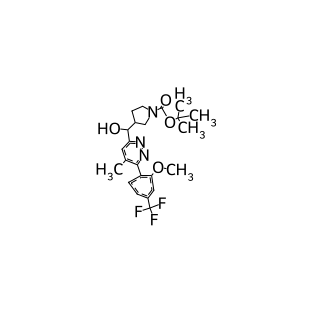 COc1cc(C(F)(F)F)ccc1-c1nnc(C(O)C2CCN(C(=O)OC(C)(C)C)C2)cc1C